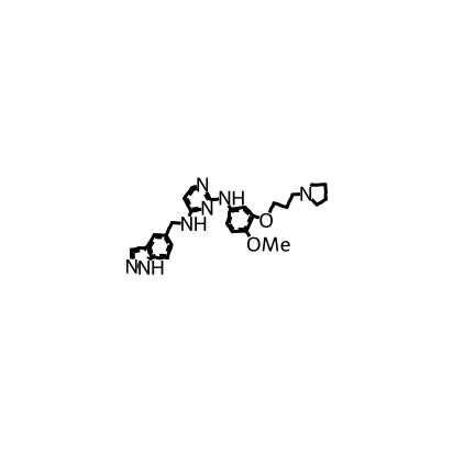 COc1ccc(Nc2nccc(NCc3ccc4[nH]ncc4c3)n2)cc1OCCCN1CCCC1